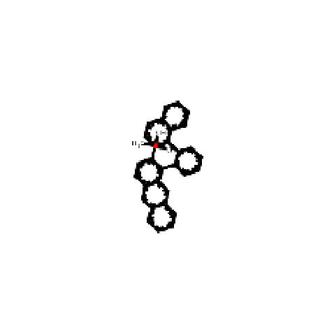 CC(C)(C)c1ccc2cc3ccccc3cc2c1-c1ccccc1-c1cccc2ccccc12